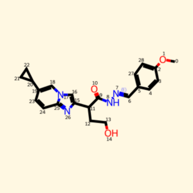 COc1ccc(/C=N/NC(=O)C(CCO)c2cn3cc(C4CC4)ccc3n2)cc1